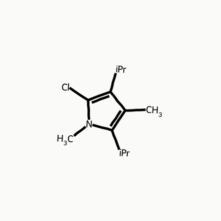 Cc1c(C(C)C)c(Cl)n(C)c1C(C)C